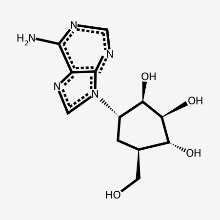 Nc1ncnc2c1ncn2[C@H]1C[C@H](CO)[C@@H](O)[C@H](O)[C@@H]1O